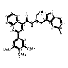 COc1cc(-c2cc(C(=O)N[C@@H](CO)Cc3c[nH]c4ccc(C)cc34)c3ccccc3n2)cc(OC)c1OC